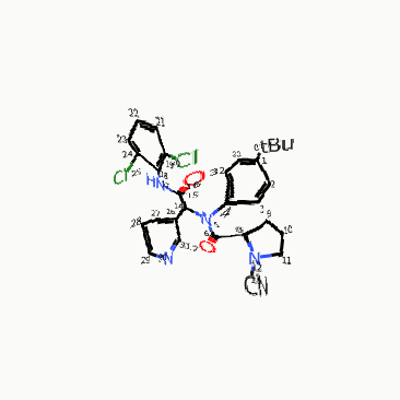 CC(C)(C)c1ccc(N(C(=O)[C@H]2CCCN2C#N)C(C(=O)Nc2c(Cl)cccc2Cl)c2cccnc2)cc1